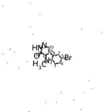 Cn1c2ccc(Br)cc2c2cn[nH]c(=O)c21